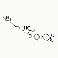 CCCCCCCCCCC(Oc1ccc(N2CCS(=O)(=O)CC2)cc1)C(=O)O